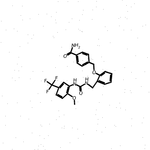 COc1ccc(C(F)(F)F)cc1NC(=O)NCc1ccccc1OCc1ccc(C(N)=O)cc1